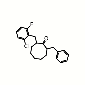 O=C1C(Cc2ccccc2)CCCCCC1Cc1c(F)cccc1Cl